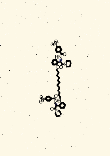 O=C(N/C=C(/C(=O)N1CCCCC1)c1ccccc1OCCCCCCCCCCCCOc1ccccc1/C(=C\NC(=O)c1ccc([N+](=O)[O-])cc1)C(=O)N1CCCCC1)c1ccc([N+](=O)[O-])cc1